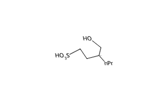 CCC[C](CO)CCS(=O)(=O)O